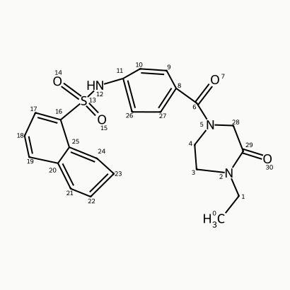 CCN1CCN(C(=O)c2ccc(NS(=O)(=O)c3cccc4ccccc34)cc2)CC1=O